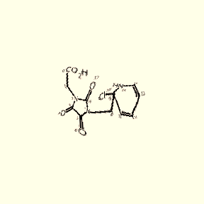 O=C(O)CN1C(=O)C(=O)N(CC2(Cl)C=CC=CN2)C1=O